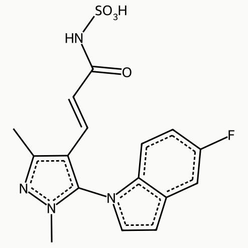 Cc1nn(C)c(-n2ccc3cc(F)ccc32)c1C=CC(=O)NS(=O)(=O)O